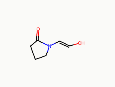 O=C1CCCN1C=CO